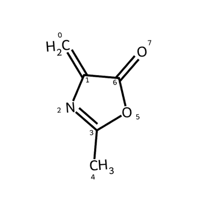 C=C1N=C(C)OC1=O